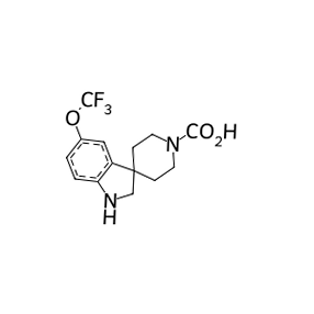 O=C(O)N1CCC2(CC1)CNc1ccc(OC(F)(F)F)cc12